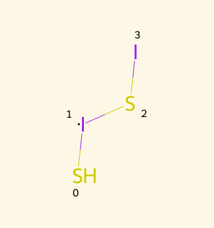 S[I]SI